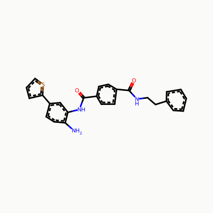 Nc1ccc(-c2cccs2)cc1NC(=O)c1ccc(C(=O)NCCc2ccccc2)cc1